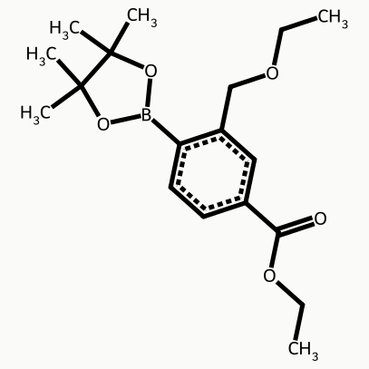 CCOCc1cc(C(=O)OCC)ccc1B1OC(C)(C)C(C)(C)O1